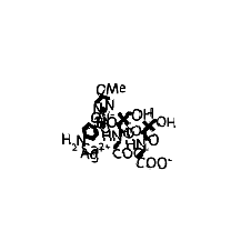 CC(C)(CO)C(O)C(=O)NCCC(=O)[O-].CC(C)(CO)C(O)C(=O)NCCC(=O)[O-].COc1cnc([N-]S(=O)(=O)c2ccc(N)cc2)nc1.[Ag+].[Ca+2]